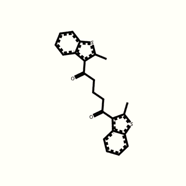 Cc1sc2ccccc2c1C(=O)CCCC(=O)c1c(C)sc2ccccc12